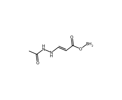 BOC(=O)/C=C/NNC(C)=O